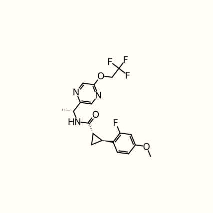 COc1ccc([C@H]2C[C@@H]2C(=O)N[C@H](C)c2cnc(OCC(F)(F)F)cn2)c(F)c1